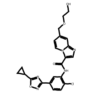 O=C(Nc1cc(-c2noc(C3CC3)n2)ccc1Cl)c1cnc2cc(COCCO)ccn12